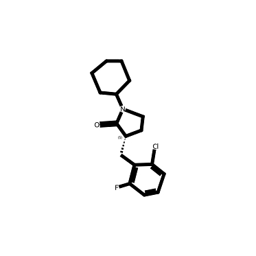 O=C1[C@@H](Cc2c(F)cccc2Cl)CCN1C1CCCCC1